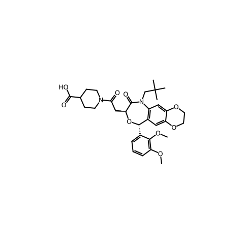 COc1cccc([C@@H]2O[C@@H](CC(=O)N3CCC(C(=O)O)CC3)C(=O)N(CC(C)(C)C)c3cc4c(cc32)OCCO4)c1OC